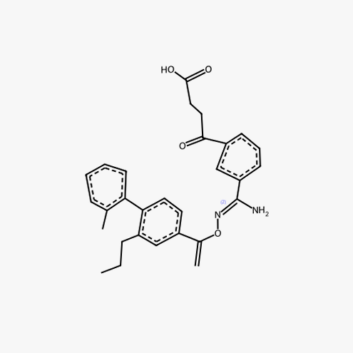 C=C(O/N=C(\N)c1cccc(C(=O)CCC(=O)O)c1)c1ccc(-c2ccccc2C)c(CCC)c1